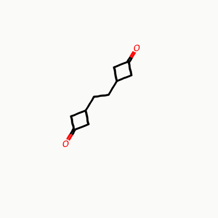 O=C1CC(CCC2CC(=O)C2)C1